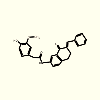 COc1cc(CC(=O)Nc2ccc3c(c2)C(=O)C(=Cc2ccccc2)CC3)ccc1O